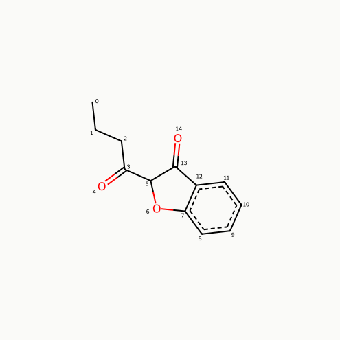 CCCC(=O)C1Oc2ccccc2C1=O